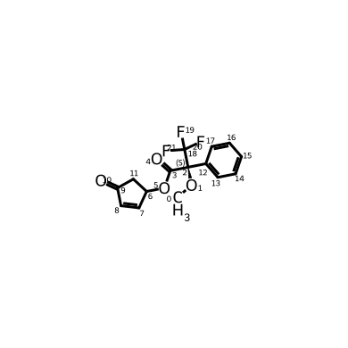 CO[C@](C(=O)OC1C=CC(=O)C1)(c1ccccc1)C(F)(F)F